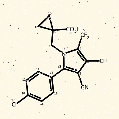 N#Cc1c(Cl)c(C(F)(F)F)n(CC2(C(=O)O)CC2)c1-c1ccc(Cl)cc1